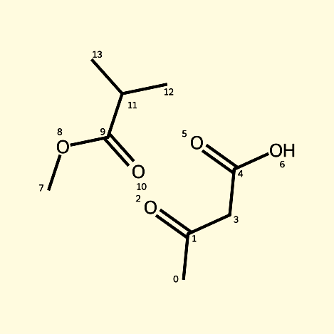 CC(=O)CC(=O)O.COC(=O)C(C)C